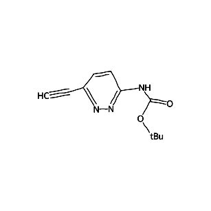 C#Cc1ccc(NC(=O)OC(C)(C)C)nn1